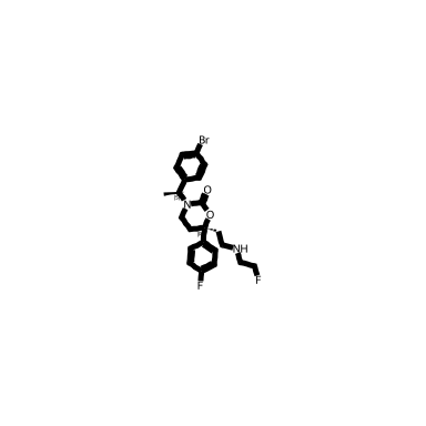 C[C@@H](c1ccc(Br)cc1)N1CC[C@](CCNCCF)(c2ccc(F)cc2)OC1=O